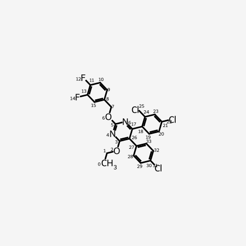 CCOc1nc(OCc2ccc(F)c(F)c2)nc(-c2ccc(Cl)cc2Cl)c1-c1ccc(Cl)cc1